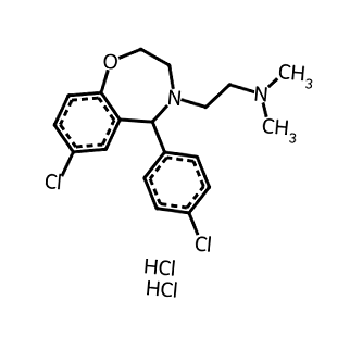 CN(C)CCN1CCOc2ccc(Cl)cc2C1c1ccc(Cl)cc1.Cl.Cl